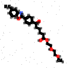 COCCOCCOC(=O)CCCCC(=O)c1ccc(-c2nc3cc(C)ccc3o2)cc1